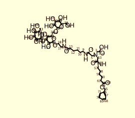 O=C(O)CN(CC(=O)NCCCCCC(=O)NCCO[C@H]1O[C@H](CO[C@H]2O[C@H](CO)[C@@H](O)[C@H](O)[C@@H]2O)[C@@H](O)[C@H](O[C@H]2O[C@H](CO)[C@@H](O)[C@H](O)[C@@H]2O)[C@@H]1O)CC(=O)NCCCCCC(=O)OCc1ccccc1